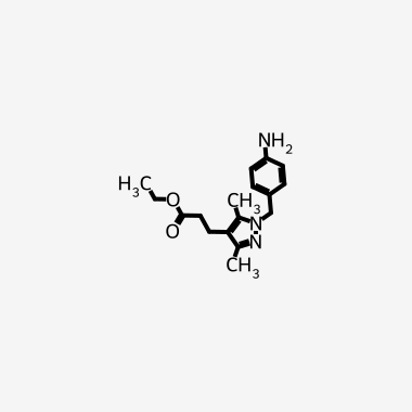 CCOC(=O)CCc1c(C)nn(Cc2ccc(N)cc2)c1C